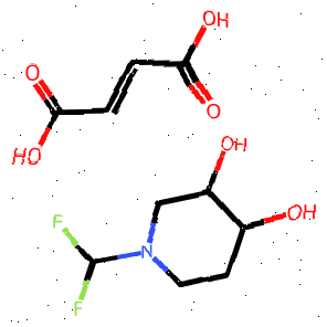 O=C(O)C=CC(=O)O.OC1CCN(C(F)F)CC1O